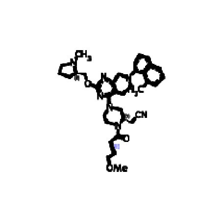 COC/C=C/C(=O)N1CCN(c2nc(OC[C@H]3CCCN3C)nc3c2CCN(c2cccc4cccc(C)c24)C3)C[C@@H]1CC#N